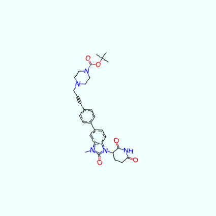 Cn1c(=O)n(C2CCC(=O)NC2=O)c2ccc(-c3ccc(C#CCN4CCN(C(=O)OC(C)(C)C)CC4)cc3)cc21